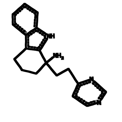 NC1(CCc2ccncn2)CCCc2c1[nH]c1ccccc21